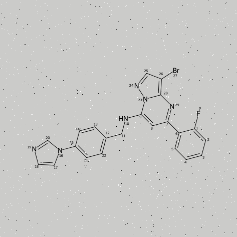 Fc1ccccc1-c1cc(NCc2ccc(-n3ccnc3)cc2)n2ncc(Br)c2n1